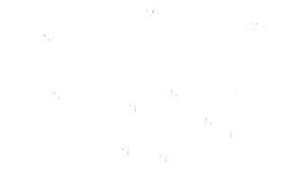 CCNC(=O)c1ccc(-c2cnc(N)c(-c3cn(C)c(=O)c(-c4cc(OC)cc(OC)c4)n3)n2)cn1